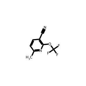 Cc1ccc(C#N)c(OC(F)(F)F)n1